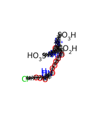 O=C(CCOCCOCCOCCOCCNC(=O)c1ccc(C(=O)O)c(-c2c3ccc(=[N+]4CCN(CCCCS(=O)(=O)O)CC4)cc-3oc3cc(N4CCN(CCCCS(=O)(=O)O)CC4)ccc23)c1)NCc1ccc(C(=O)NCCOCCOCCCCCCCl)cc1